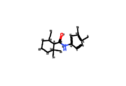 Cc1ccc(NC(=O)C2C(C)CCCC2(C)C)cc1C